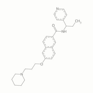 CCC(NC(=O)c1ccc2cc(OCCCN3CCCCC3)ccc2c1)c1ccncc1